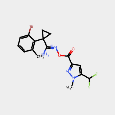 Cc1cccc(Br)c1C1(/C(N)=N/OC(=O)c2cc(C(F)F)n(C)n2)CC1